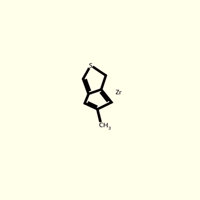 CC1=CC2=CSCC2=C1.[Zr]